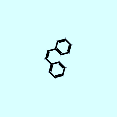 C(=C/c1ccccc1)/c1ccccc1